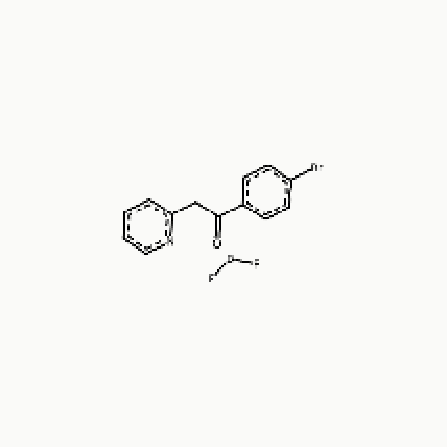 F[B]F.O=C(Cc1ccccn1)c1ccc(Br)cc1